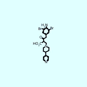 Nc1c(Br)cc(CC(=O)C(CN2CCC(c3ccncc3)CC2)C(=O)O)cc1Br